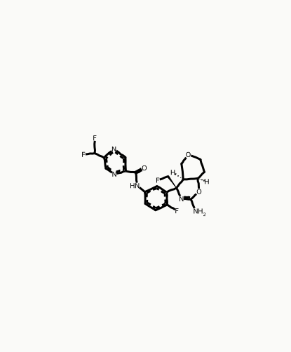 NC1=N[C@](CF)(c2cc(NC(=O)c3cnc(C(F)F)cn3)ccc2F)[C@H]2COCC[C@H]2O1